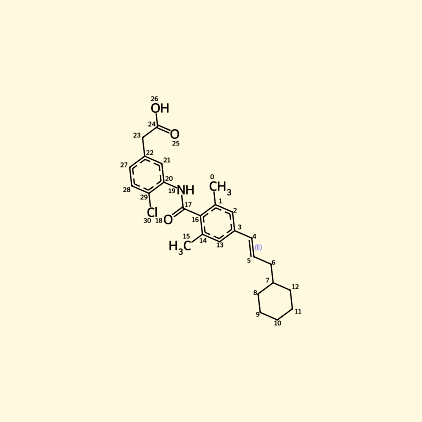 Cc1cc(/C=C/CC2CCCCC2)cc(C)c1C(=O)Nc1cc(CC(=O)O)ccc1Cl